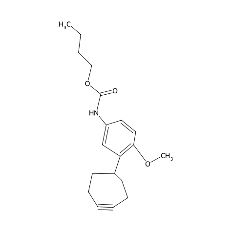 CCCCOC(=O)Nc1ccc(OC)c(C2CCC#CCC2)c1